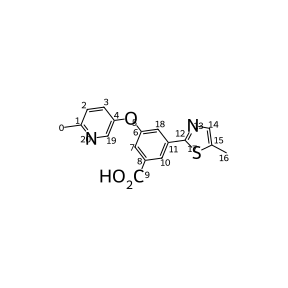 Cc1ccc(Oc2cc(C(=O)O)cc(-c3ncc(C)s3)c2)cn1